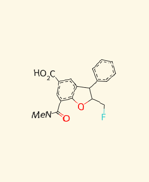 CNC(=O)c1cc(C(=O)O)cc2c1OC(CF)C2c1ccccc1